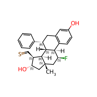 C[C@@]12C[C@H](O)[C@@H](C=S)[C@H]1[C@H]1[C@@H](c3ccc(O)cc3C[C@H]1c1ccccc1)[C@@H](F)C2